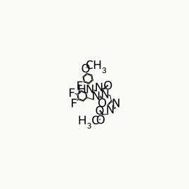 COC(=O)Cn1cnc(Cn2c(=O)nc(Nc3ccc(OC)cc3)n(Cc3cc(F)c(F)c(F)c3)c2=O)c1